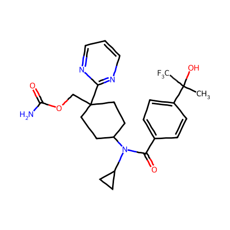 CC(O)(c1ccc(C(=O)N(C2CC2)C2CCC(COC(N)=O)(c3ncccn3)CC2)cc1)C(F)(F)F